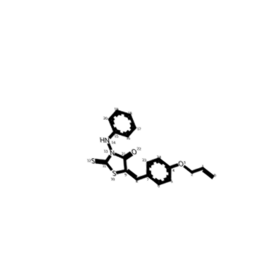 C=CCOc1ccc(C=C2SC(=S)N(Nc3ccccc3)C2=O)cc1